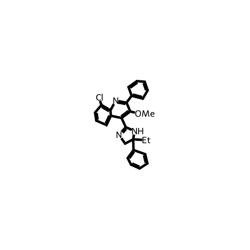 CCC1(c2ccccc2)CN=C(c2c(OC)c(-c3ccccc3)nc3c(Cl)cccc23)N1